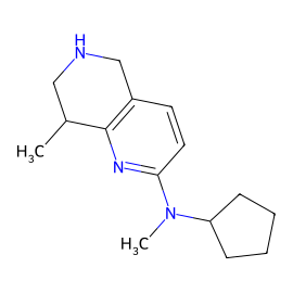 CC1CNCc2ccc(N(C)C3CCCC3)nc21